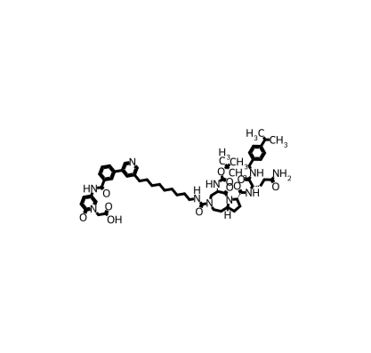 CC(C)c1ccc(CNC(=O)[C@H](CCC(N)=O)NC(=O)[C@@H]2CC[C@@H]3CCN(C(=O)NCCCCCCCCCc4cncc(-c5cccc(C(=O)Nc6ccc(=O)n(CC(=O)O)c6)c5)c4)C[C@H](NC(=O)OC(C)(C)C)C(=O)N32)cc1